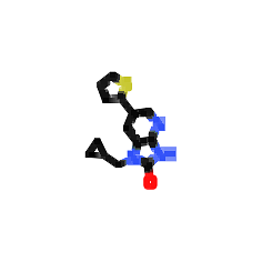 O=c1[nH]c2ncc(-c3cccs3)cc2n1CC1CC1